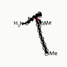 COCCOCCCC1(CCCOCCOCCOCCOCCOCCOCCOCCOCCOCCOCCOCCOC)c2cc(B3OC(C)(C)C(C)(C)O3)ccc2-c2ccc(-c3cc(F)c(-c4ccc(OCCCCN)cc4)cc3F)cc21